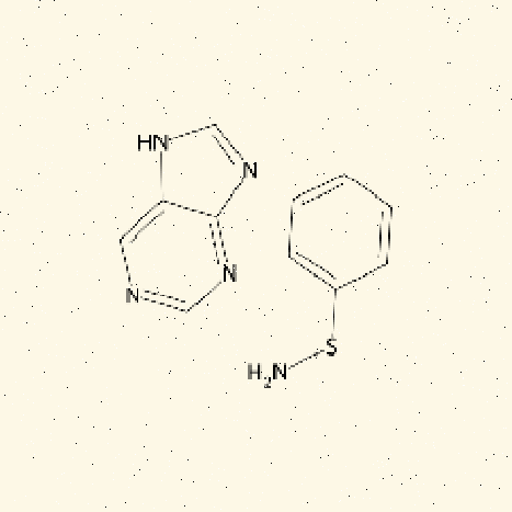 NSc1ccccc1.c1ncc2[nH]cnc2n1